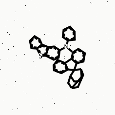 c1ccc(N(c2ccc3sc4ccccc4c3c2)c2cccc3c2-c2ccccc2C32C3CC4CC(C3)CC2C4)cc1